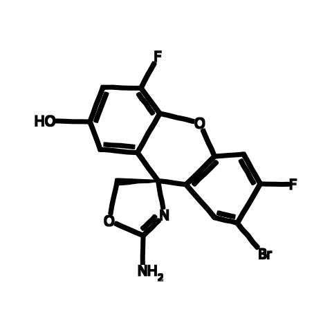 NC1=N[C@@]2(CO1)c1cc(Br)c(F)cc1Oc1c(F)cc(O)cc12